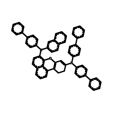 C1=C(N(c2ccc(-c3ccccc3)cc2)c2ccc(-c3ccccc3)cc2)CCC2=C1Oc1c(N(c3ccc(-c4ccccc4)cc3)c3ccc4ccccc4c3)ccc3cccc2c13